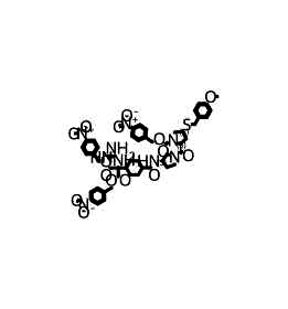 COc1ccc(CS[C@H]2C[C@@H](C(=O)N3CC[C@H](NC(=O)C4CCC(C(NC(=N)N)(C(=O)OCc5ccc([N+](=O)[O-])cc5)C(=O)OCc5ccc([N+](=O)[O-])cc5)CC4)C3)N(C(=O)OCc3ccc([N+](=O)[O-])cc3)C2)cc1